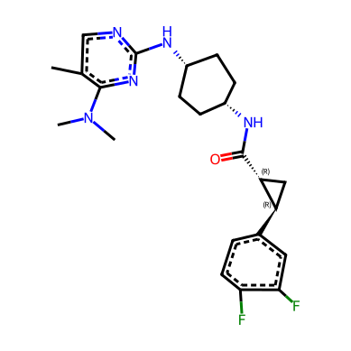 Cc1cnc(N[C@H]2CC[C@@H](NC(=O)[C@@H]3C[C@H]3c3ccc(F)c(F)c3)CC2)nc1N(C)C